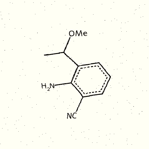 COC(C)c1cccc(C#N)c1N